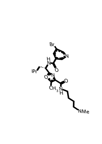 CNCCCCNC(=O)c1nc([C@H](CC(C)C)NC(=O)c2cncc(Br)c2)oc1C